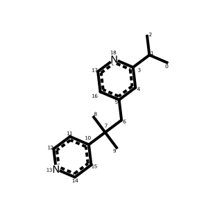 CC(C)c1cc(CC(C)(C)c2ccncc2)ccn1